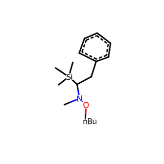 CCCCON(C)C(Cc1ccccc1)[Si](C)(C)C